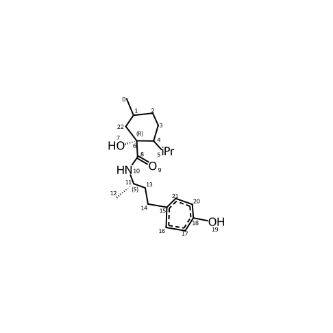 CC1CCC(C(C)C)[C@@](O)(C(=O)N[C@@H](C)CCc2ccc(O)cc2)C1